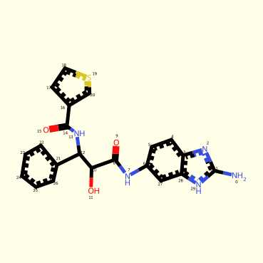 Nc1nc2ccc(NC(=O)C(O)C(NC(=O)c3ccsc3)c3ccccc3)cc2[nH]1